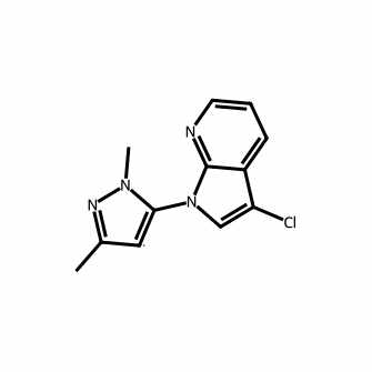 Cc1[c]c(-n2cc(Cl)c3cccnc32)n(C)n1